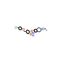 CN1CCc2ccc(NS(=O)(=O)c3ccc(COc4ccc(Cl)cc4)cc3)cc2CC1